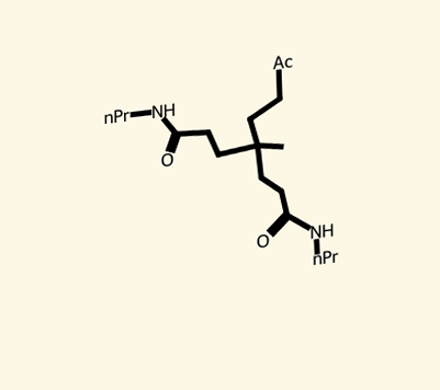 CCCNC(=O)CCC(C)(CCC(C)=O)CCC(=O)NCCC